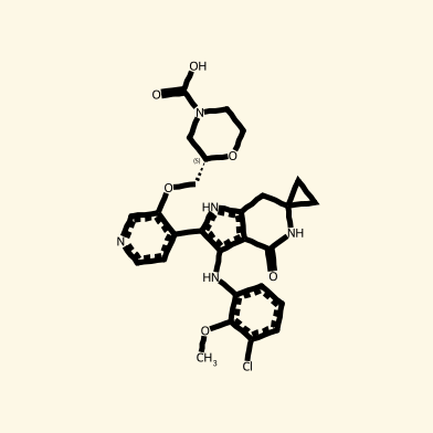 COc1c(Cl)cccc1Nc1c(-c2ccncc2OC[C@@H]2CN(C(=O)O)CCO2)[nH]c2c1C(=O)NC1(CC1)C2